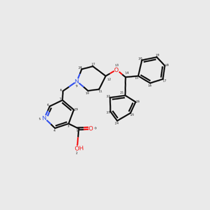 O=C(O)c1cncc(CN2CCC(OC(c3ccccc3)c3ccccc3)CC2)c1